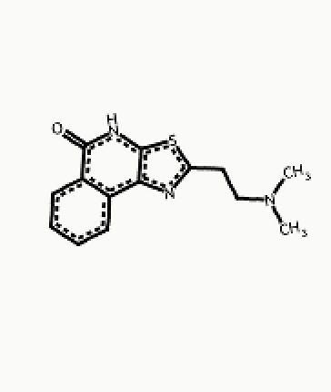 CN(C)CCc1nc2c([nH]c(=O)c3ccccc32)s1